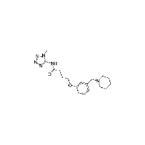 Cn1nnnc1NC(=O)CCCOc1cccc(CN2CCCCC2)c1